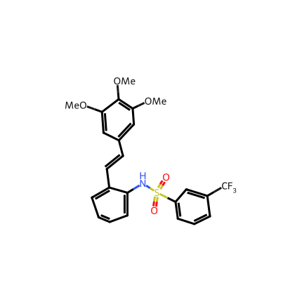 COc1cc(C=Cc2ccccc2NS(=O)(=O)c2cccc(C(F)(F)F)c2)cc(OC)c1OC